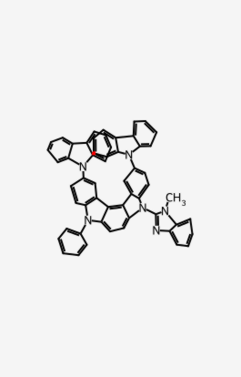 Cn1c(-n2c3ccc(-n4c5ccccc5c5ccccc54)cc3c3c4c5cc(-n6c7ccccc7c7ccccc76)ccc5n(-c5ccccc5)c4ccc32)nc2ccccc21